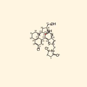 O=C1CCC(=O)N1Cc1cc2nccc(-c3cc(Cl)cc4c3N([C@@H]3CN[C@H](CO)C3)CCC4)c2s1